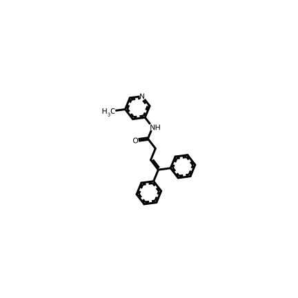 Cc1cncc(NC(=O)CC=C(c2ccccc2)c2ccccc2)c1